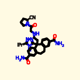 CC(C)c1nnc(C2(CCNCC(=O)N3CCC[C@H]3C#N)c3ccc(C(N)=O)cc3CCc3cc(C(N)=O)ccc32)[nH]1